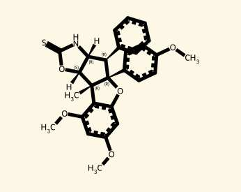 COc1ccc([C@@]23Oc4cc(OC)cc(OC)c4[C@]2(C)[C@@H]2OC(=S)N[C@@H]2[C@H]3c2ccccc2)cc1